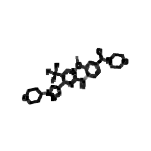 COc1cc(C(=O)N2CCOCC2)ccc1Nc1ncc(C(F)(F)F)c(-c2cnn(C3CCOCC3)c2)n1